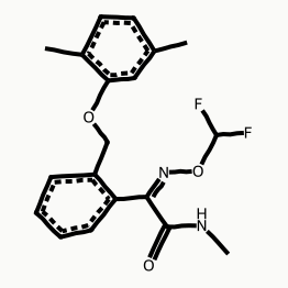 CNC(=O)C(=NOC(F)F)c1ccccc1COc1cc(C)ccc1C